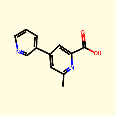 Cc1cc(-c2cccnc2)cc(C(=O)O)n1